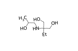 CCC(CO)(CO)NCC(C)O